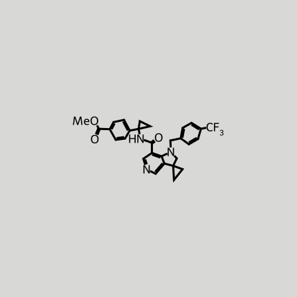 COC(=O)c1ccc(C2(NC(=O)c3cncc4c3N(Cc3ccc(C(F)(F)F)cc3)CC43CC3)CC2)cc1